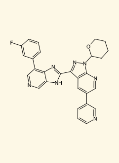 Fc1cccc(-c2cncc3[nH]c(-c4nn(C5CCCCO5)c5ncc(-c6cccnc6)cc45)nc23)c1